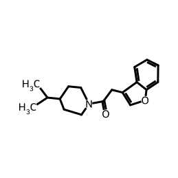 CC(C)C1CCN(C(=O)Cc2coc3ccccc23)CC1